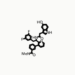 CNC(=O)c1cccc(-c2cccnc2C(Cc2cc(F)cc(F)c2)NC(=O)Cc2c[nH]c3ccc(O)cc23)c1